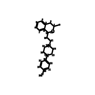 CC1Cc2ccccc2C(CCN2CCN(c3ccc(F)cc3)CC2)O1